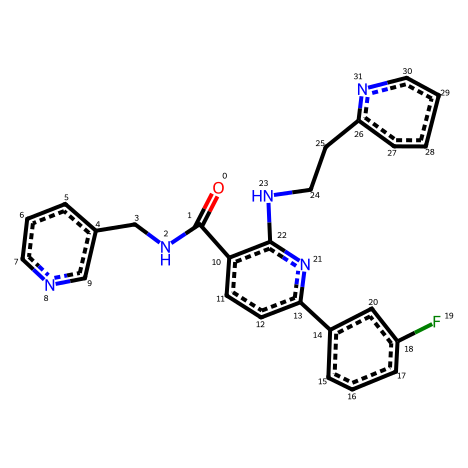 O=C(NCc1cccnc1)c1ccc(-c2cccc(F)c2)nc1NCCc1ccccn1